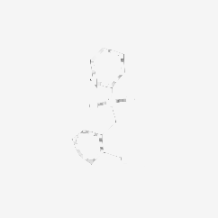 Cc1ccccc1CS(=O)(=O)c1ccccn1